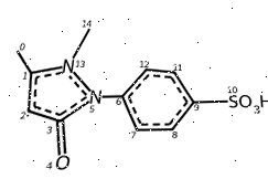 Cc1[c]c(=O)n(-c2ccc(S(=O)(=O)O)cc2)n1C